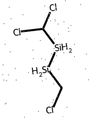 ClC[SiH2][SiH2]C(Cl)Cl